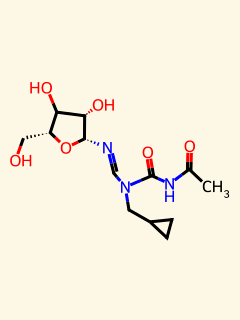 CC(=O)NC(=O)N(/C=N/[C@@H]1O[C@H](CO)C(O)[C@@H]1O)CC1CC1